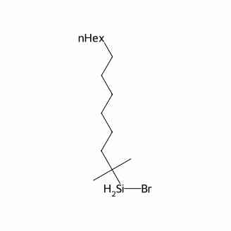 CCCCCCCCCCCCC(C)(C)[SiH2]Br